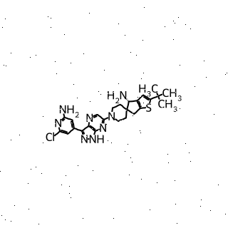 CC(C)(C)c1cc2c(s1)CC1(CCN(c3cnc4c(-c5cc(N)nc(Cl)c5)n[nH]c4n3)CC1)[C@@H]2N